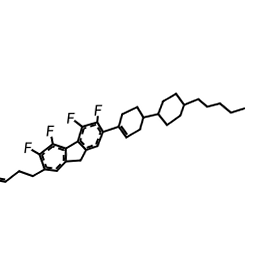 C=CCCc1cc2c(c(F)c1F)-c1c(cc(C3=CCC(C4CCC(CCCCC)CC4)CC3)c(F)c1F)C2